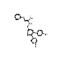 CN/C(=N\Sc1ccccc1)NCc1cnc(-c2ccc(Cl)cc2)c(-c2ccc(Cl)cc2)c1